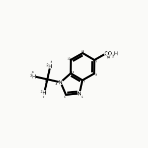 [2H]C([2H])([2H])n1cnc2cc(C(=O)O)ccc21